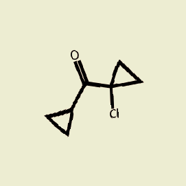 O=C(C1CC1)C1(Cl)CC1